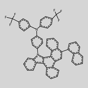 FC(F)(F)c1ccc(N(c2ccc(-n3c4ccccc4c4c5ccccc5c5cc(-c6cccc7ccccc67)c6ccccc6c5c43)cc2)c2ccc(C(F)(F)F)cc2)cc1